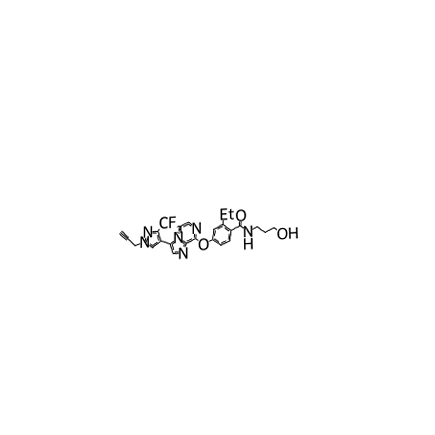 C#CCn1cc(-c2cnc3c(Oc4ccc(C(=O)NCCCO)c(CC)c4)nccn23)c(C(F)(F)F)n1